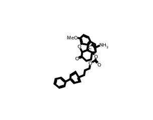 COc1ccc2c3c1OC1C(=O)CCC4(OC(=O)OCCCc5ccc(-c6ccccc6)cc5)C(C2)C(N)CCC314